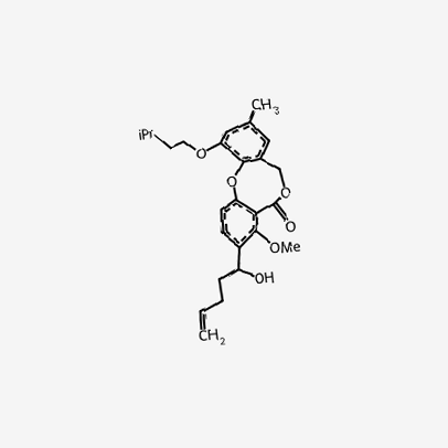 C=CCCC(O)c1ccc2c(c1OC)C(=O)OCc1cc(C)cc(OCCC(C)C)c1O2